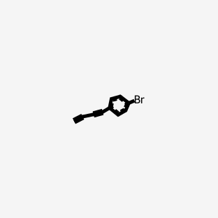 C#CC#Cc1ccc(Br)cc1